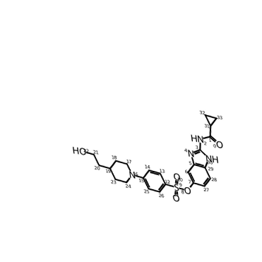 O=C(Nc1nc2cc(OS(=O)(=O)c3ccc(N4CCC(CCO)CC4)cc3)ccc2[nH]1)C1CC1